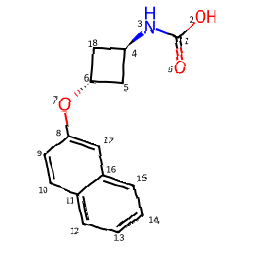 O=C(O)N[C@H]1C[C@H](Oc2ccc3ccccc3c2)C1